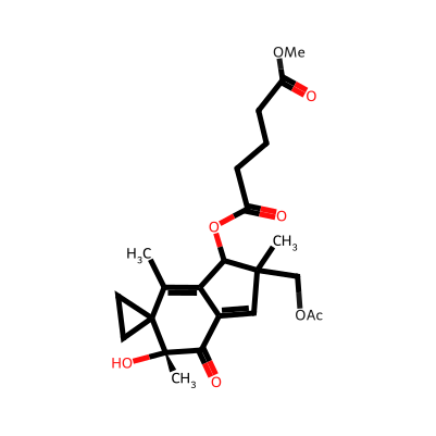 COC(=O)CCCC(=O)OC1C2=C(C)C3(CC3)[C@@](C)(O)C(=O)C2=CC1(C)COC(C)=O